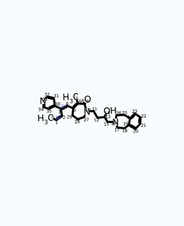 C/C=C\C(=C/C1=C(C)C(=O)N(CCC(O)CN2CCc3ccccc3CC2)CCC1)c1ccncc1